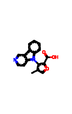 Cc1coc(C(=O)O)c1-n1c2ccccc2c2cnccc21